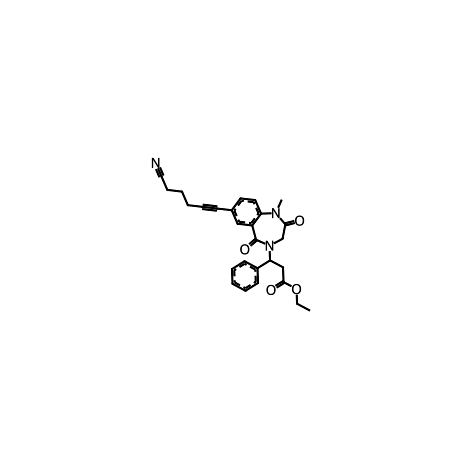 CCOC(=O)CC(c1ccccc1)N1CC(=O)N(C)c2ccc(C#CCCCC#N)cc2C1=O